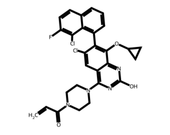 C=CC(=O)N1CCN(c2nc(O)nc3c(OC4CC4)c(-c4cccc5ccc(F)c(Cl)c45)c(Cl)cc23)CC1